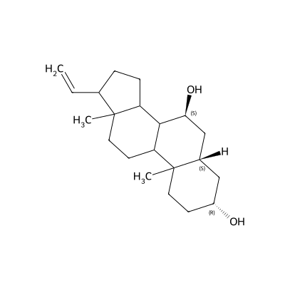 C=CC1CCC2C3C(CCC12C)C1(C)CC[C@@H](O)C[C@H]1C[C@@H]3O